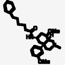 COc1cccc([C@@]23CCN(C)C[C@H]2C(OC)C[C@@H](NC(=O)CCCCCc2ccccc2)C3)c1